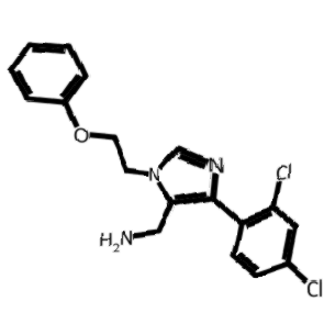 NCc1c(-c2ccc(Cl)cc2Cl)ncn1CCOc1ccccc1